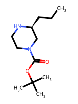 CCC[C@H]1CN(C(=O)OC(C)(C)C)CCN1